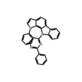 c1ccc(-c2nccc(-n3c4ccccc4c4ccc5ccn(-c6ccccc6)c5c43)n2)cc1